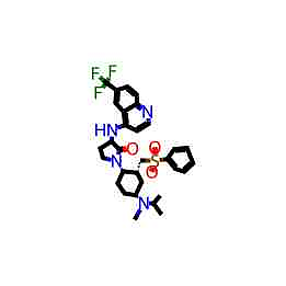 CC(C)N(C)[C@@H]1CC[C@H](N2CCC(Nc3ccnc4ccc(C(F)(F)F)cc34)C2=O)[C@H](CS(=O)(=O)c2ccccc2)C1